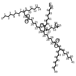 CCCCCCCCC(CCCCCC)COC(=O)CCCCCCC(CCCCCC(=O)OCC(CCCCCC)CCCCCCCC)N(CCCN(C)C)C(=O)CCCCCCCF